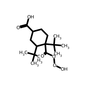 CC(C)(C)C1CC(C(=O)O)CCC1(C(=O)OOO)C(C)(C)C